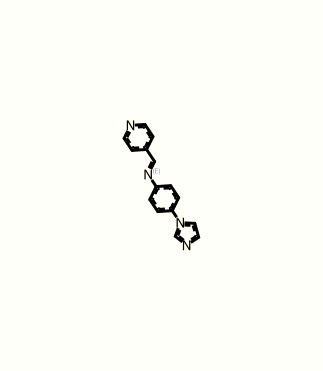 C(=N\c1ccc(-n2ccnc2)cc1)/c1ccncc1